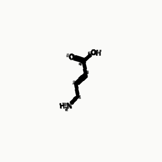 NCC=CC(=O)O